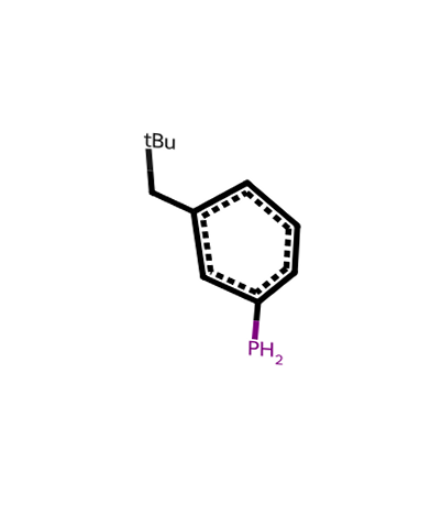 CC(C)(C)Cc1cccc(P)c1